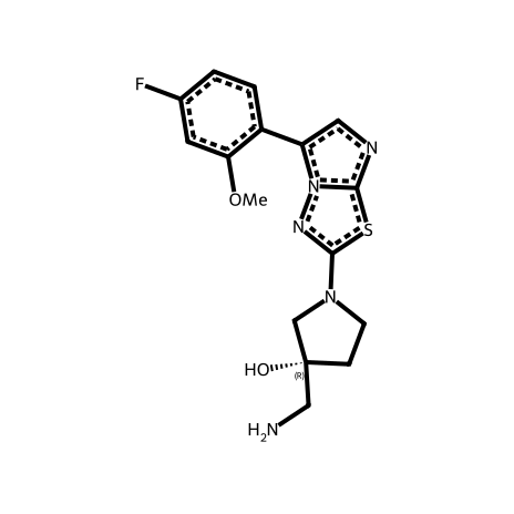 COc1cc(F)ccc1-c1cnc2sc(N3CC[C@@](O)(CN)C3)nn12